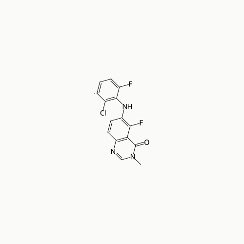 Cn1cnc2ccc(Nc3c(Cl)[c]ccc3F)c(F)c2c1=O